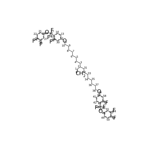 C=CC(CCCCCCCCOc1ccc(C(F)(F)Oc2ccc(F)c(F)c2)c(F)c1)CCCCCCCCOc1ccc(C(F)(F)Oc2ccc(F)c(F)c2)c(F)c1